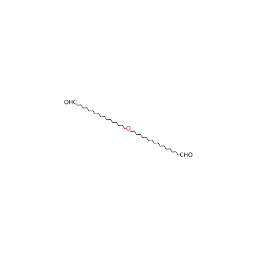 O=CCCCCCCCCCCCCCCCCCOCCCCCCCCCCCCCCCCCC=O